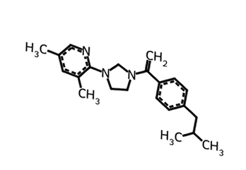 C=C(c1ccc(CC(C)C)cc1)N1CCN(c2ncc(C)cc2C)C1